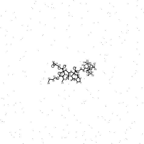 C=C1CCCN1C(C)CC(C)(CC(C#N)CC(C)(CC(CC)C(=O)OCCCC)C(=O)OCC1CO1)C(=O)OCCC[Si](O[Si](C)(C)C)(O[Si](C)(C)C)O[Si](C)(C)C